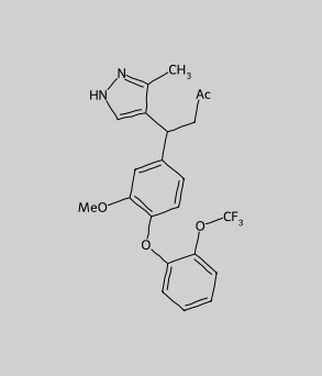 COc1cc(C(CC(C)=O)c2c[nH]nc2C)ccc1Oc1ccccc1OC(F)(F)F